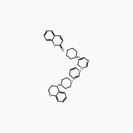 C1=CN=COC1.C1=COC=NC1.C1CCNCC1.C1COCCN1.O=c1ccc2ccccc2o1.c1ccc2c(c1)CCCO2